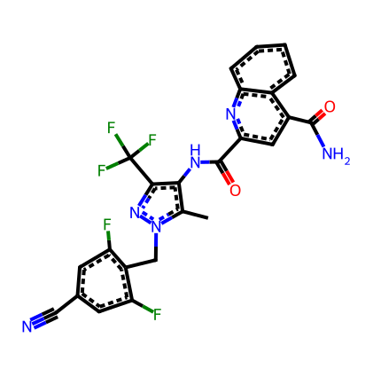 Cc1c(NC(=O)c2cc(C(N)=O)c3ccccc3n2)c(C(F)(F)F)nn1Cc1c(F)cc(C#N)cc1F